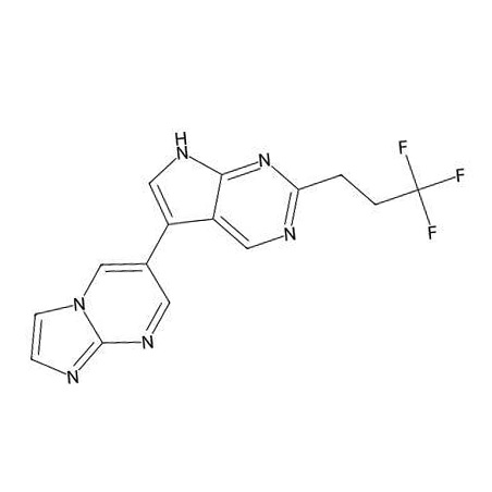 FC(F)(F)CCc1ncc2c(-c3cnc4nccn4c3)c[nH]c2n1